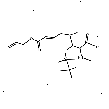 C=CCOC(=O)/C=C/CC(C)C(O[Si](C)(C)C(C)(C)C)C(NC)C(=O)O